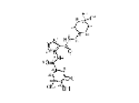 O=C(Nc1ncsc1C(=O)NCC1CCC(F)(F)CC1)c1cc(Cl)c(O)c(Cl)c1